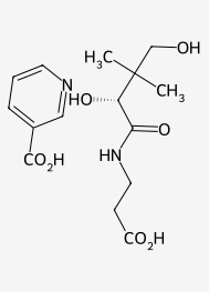 CC(C)(CO)[C@@H](O)C(=O)NCCC(=O)O.O=C(O)c1cccnc1